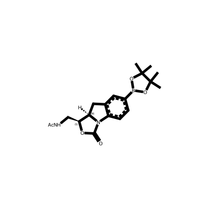 CC(=O)NC[C@@H]1OC(=O)N2c3ccc(B4OC(C)(C)C(C)(C)O4)cc3C[C@H]12